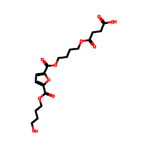 O=C(O)CCC(=O)OCCCCOC(=O)c1ccc(C(=O)OCCCCO)o1